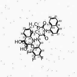 COC(=O)N(C(=O)[C@H](C)N(Cc1cc(F)c(F)c(F)c1)N(C(=O)C(=O)O)c1ccccc1C(=O)O)c1cccc2ccccc12